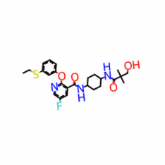 CCSc1cccc(Oc2ncc(F)cc2C(=O)NC2CCC(NC(=O)C(C)(C)CO)CC2)c1